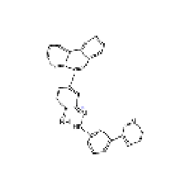 N=C1C=CC(c2cc3ccccc3c3ccccc23)=C/C1=N/Nc1cccc(-c2cccnc2)c1